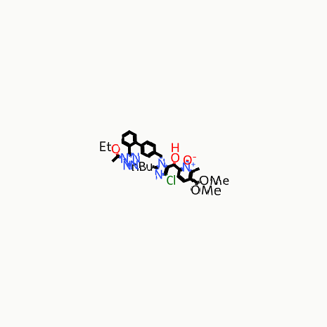 CCCCc1nc(Cl)c(C(O)c2ccc(C(OC)OC)c(C)[n+]2[O-])n1Cc1ccc(-c2ccccc2-c2nnnn2C(C)OCC)cc1